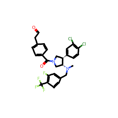 CN(Cc1ccc(C(F)(F)F)c(F)c1)[C@@H]1CN(C(=O)c2ccc(CC=O)cc2)C[C@@H]1c1ccc(Cl)c(Cl)c1